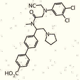 CN(C(=O)CN(CC#N)c1ccc(Cl)c(Cl)c1)C(CN1CCCC1)c1ccc(-c2ccc(C(=O)O)cc2)cc1